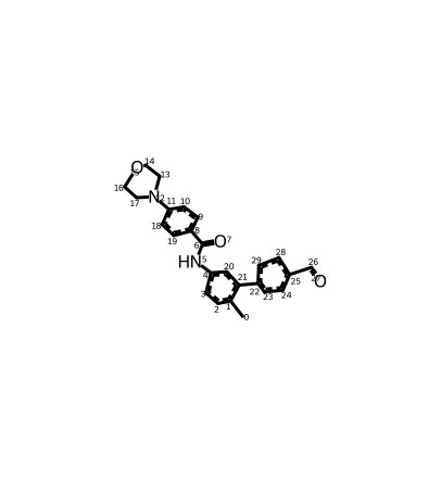 Cc1ccc(NC(=O)c2ccc(N3CCOCC3)cc2)cc1-c1ccc(C=O)cc1